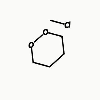 C1CCOOC1.CCl